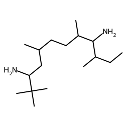 CCC(C)C(N)C(C)CCC(C)CC(N)C(C)(C)C